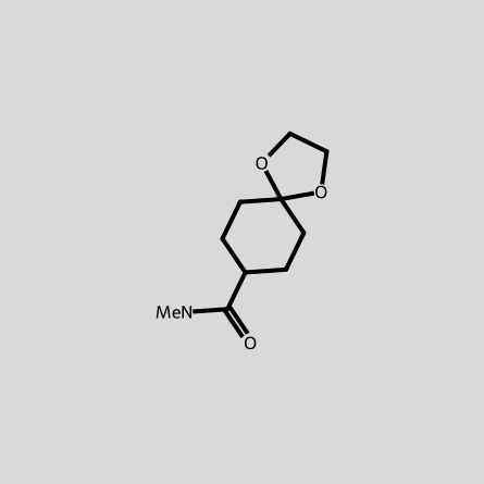 CNC(=O)C1CCC2(CC1)OCCO2